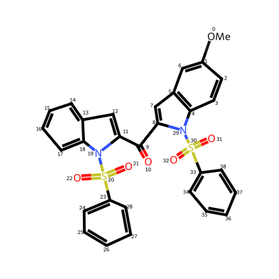 COc1ccc2c(c1)cc(C(=O)c1cc3ccccc3n1S(=O)(=O)c1ccccc1)n2S(=O)(=O)c1ccccc1